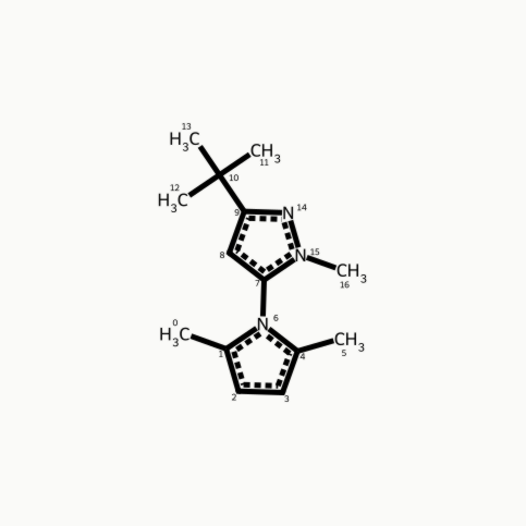 Cc1ccc(C)n1-c1cc(C(C)(C)C)nn1C